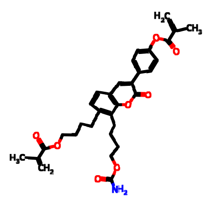 C=C(C)C(=O)OCCCCc1ccc2cc(-c3ccc(OC(=O)C(=C)C)cc3)c(=O)oc2c1CCCCOC(N)=O